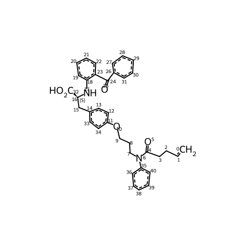 C=CCCC(=O)N(CCCOc1ccc(C[C@H](Nc2ccccc2C(=O)c2ccccc2)C(=O)O)cc1)c1ccccc1